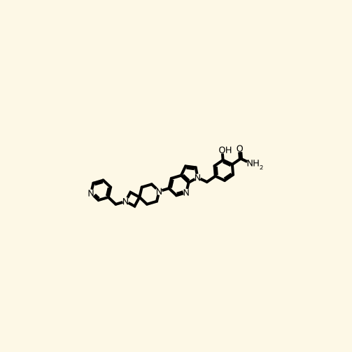 NC(=O)c1ccc(Cn2ccc3cc(N4CCC5(CC4)CN(Cc4cccnc4)C5)cnc32)cc1O